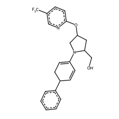 OCC1CC(Oc2ccc(C(F)(F)F)cn2)CN1C1=CCC(c2ccccc2)C=C1